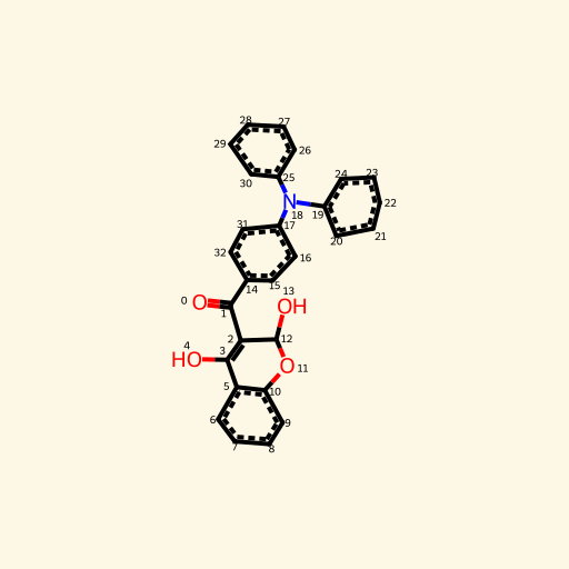 O=C(C1=C(O)c2ccccc2OC1O)c1ccc(N(c2ccccc2)c2ccccc2)cc1